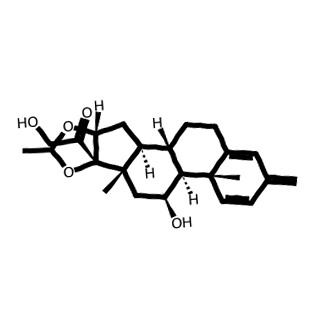 C=C1C=C[C@@]2(C)C(=C1)CC[C@@H]1[C@@H]2[C@@H](O)C[C@@]2(C)[C@H]1C[C@H]1OC(C)O[C@]12C(=O)CO